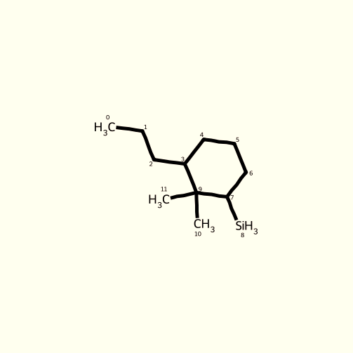 CCCC1CCC[C]([SiH3])C1(C)C